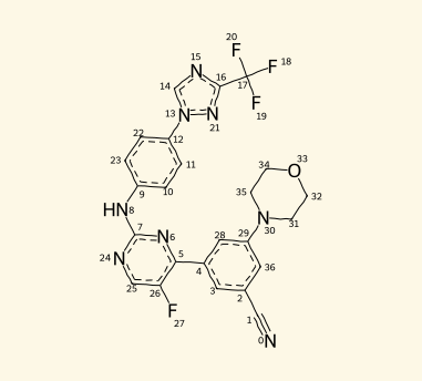 N#Cc1cc(-c2nc(Nc3ccc(-n4cnc(C(F)(F)F)n4)cc3)ncc2F)cc(N2CCOCC2)c1